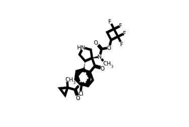 CN(C(=O)OC1CC(F)(F)C1(F)F)[C@]1(C(=O)C2CCN(C(=O)C3(C)CC3)CC2)CNC[C@H]1c1ccc(Cl)cc1